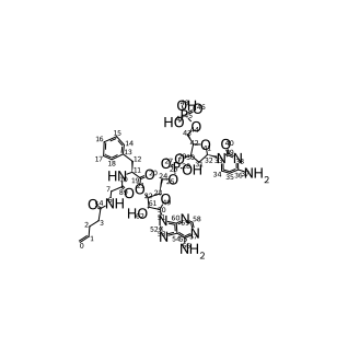 C=CCCC(=O)NCC(=O)N[C@@H](Cc1ccccc1)C(=O)OC1[C@@H](COP(=O)(O)O[C@@H]2C[C@H](n3ccc(N)nc3=O)O[C@@H]2COP(=O)(O)O)O[C@@H](n2cnc3c(N)ncnc32)[C@H]1O